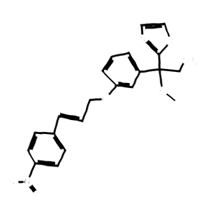 CCC(OC)(c1cccc(OCC=Cc2ccc([N+](=O)[O-])cc2)c1)c1nccs1